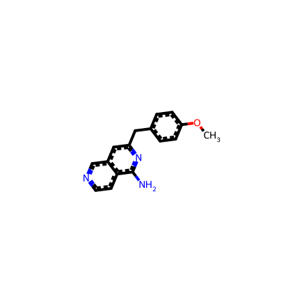 COc1ccc(Cc2cc3cnccc3c(N)n2)cc1